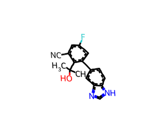 CC(C)(O)c1c(C#N)cc(F)cc1-c1ccc2[nH]cnc2c1